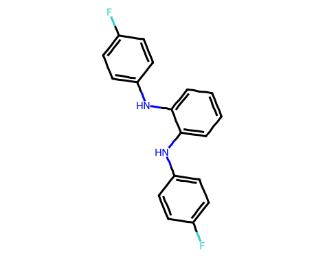 Fc1ccc(Nc2ccccc2Nc2ccc(F)cc2)cc1